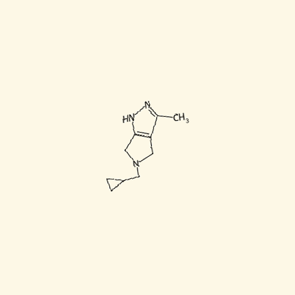 Cc1n[nH]c2c1CN(CC1CC1)C2